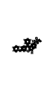 CCS(=O)(=O)Nc1ccc2c(c1)/C(=C(\c1ccccc1)c1ccc(CN3CCCCC3)cc1)C(=O)N2